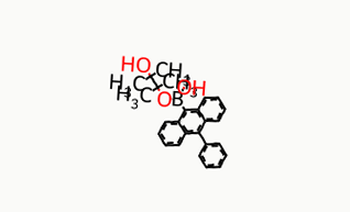 CC(C)(O)C(C)(C)OB(O)c1c2ccccc2c(-c2ccccc2)c2ccccc12